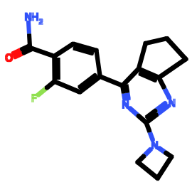 NC(=O)c1ccc(-c2nc(N3CCC3)nc3c2CCC3)cc1F